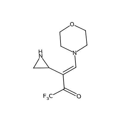 O=C(C(=CN1CCOCC1)C1CN1)C(F)(F)F